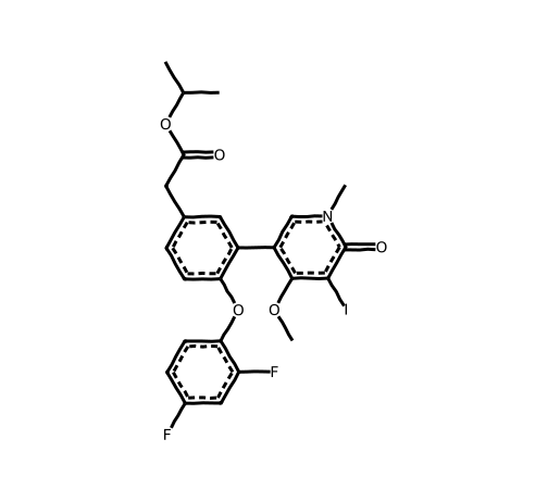 COc1c(-c2cc(CC(=O)OC(C)C)ccc2Oc2ccc(F)cc2F)cn(C)c(=O)c1I